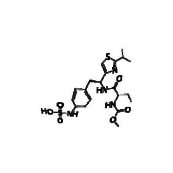 CC[C@H](NC(=O)OC)C(=O)N[C@@H](Cc1ccc(NS(=O)(=O)O)cc1)c1csc(C(C)C)n1